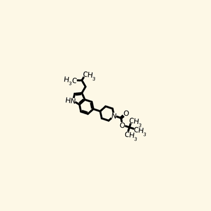 CC(C)Cc1c[nH]c2ccc(C3CCN(C(=O)OC(C)(C)C)CC3)cc12